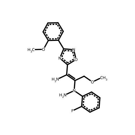 COC/C(=C(/N)c1nc(-c2ccccc2OC)no1)N(N)c1ccccc1F